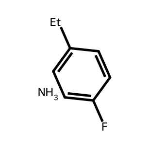 CCc1ccc(F)cc1.N